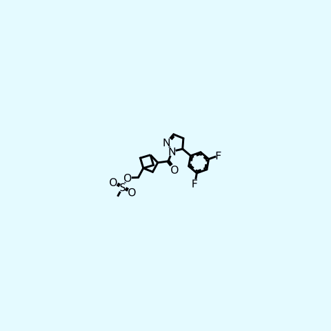 CS(=O)(=O)OCC12CC(C1)C(C(=O)N1N=CCC1c1cc(F)cc(F)c1)C2